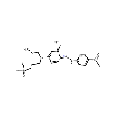 CCCN(CCCS(=O)(=O)[O-])C1=CC(=O)/C(=N/Nc2ccc([N+](=O)[O-])cn2)C=C1.[Na+]